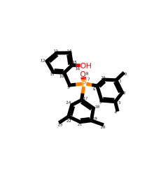 Cc1cc(C)cc(P(=O)(Cc2ccccc2O)c2cc(C)cc(C)c2)c1